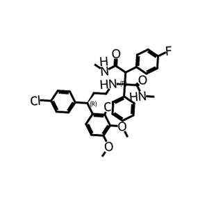 CNC(=O)C(c1ccc(F)cc1)[C@](NCC[C@H](c1ccc(Cl)cc1)c1ccc(OC)c(OC)c1Cl)(C(=O)NC)c1ccccc1